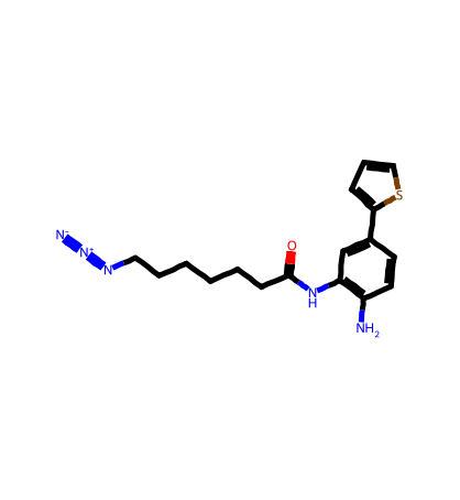 [N-]=[N+]=NCCCCCCC(=O)Nc1cc(-c2cccs2)ccc1N